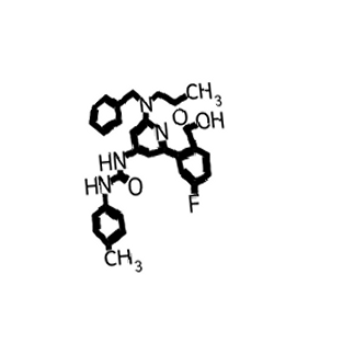 CCCN(Cc1ccccc1)c1cc(NC(=O)Nc2ccc(C)cc2)cc(-c2cc(F)ccc2C(=O)O)n1